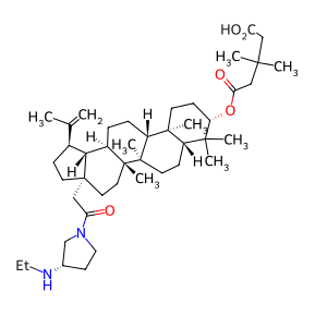 C=C(C)[C@@H]1CC[C@]2(CC(=O)N3CC[C@H](NCC)C3)CC[C@]3(C)[C@H](CC[C@@H]4[C@@]5(C)CC[C@H](OC(=O)CC(C)(C)CC(=O)O)C(C)(C)[C@@H]5CC[C@]43C)[C@@H]12